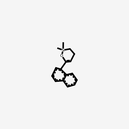 C[Si]1(C)CCC=C(c2cccc3ccccc23)O1